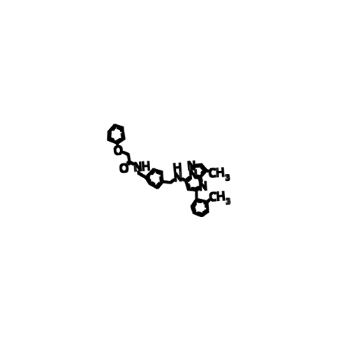 Cc1ccccc1-c1cc(NCc2ccc(CNC(=O)COc3ccccc3)cc2)n2ncc(C)c2n1